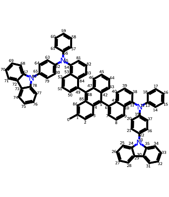 Cc1ccc2c(-c3cccc4c(N(c5ccccc5)c5ccc(-n6c7ccccc7c7ccccc76)cc5)cccc34)c3ccccc3c(-c3cccc4c(N(c5ccccc5)c5ccc(-n6c7ccccc7c7ccccc76)cc5)cccc34)c2c1